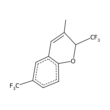 CC1=Cc2cc(C(F)(F)F)ccc2OC1C(F)(F)F